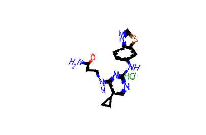 Cl.NC(=O)CCNc1nc(Nc2ccc3ncsc3c2)ncc1C1CC1